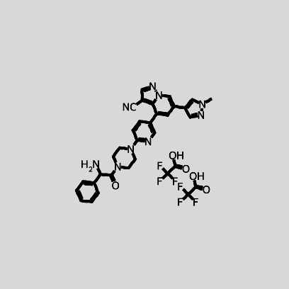 Cn1cc(-c2cc(-c3ccc(N4CCN(C(=O)C(N)c5ccccc5)CC4)nc3)c3c(C#N)cnn3c2)cn1.O=C(O)C(F)(F)F.O=C(O)C(F)(F)F